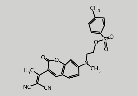 CC(=C(C#N)C#N)c1cc2ccc(N(C)CCOS(=O)(=O)c3ccc(C)cc3)cc2oc1=O